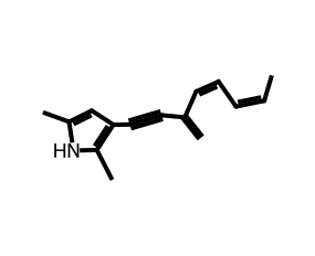 C=C(C#Cc1cc(C)[nH]c1C)/C=C\C=C/C